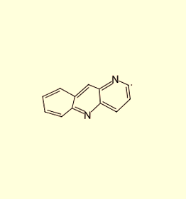 [c]1ccc2nc3ccccc3cc2n1